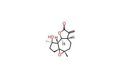 C=C1C(=O)O[C@H]2[C@H]1CC[C@]1(C)O[C@@]13CC[C@@](C)(O)[C@H]23